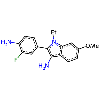 CCn1c(-c2ccc(N)c(F)c2)c(N)c2ccc(OC)cc21